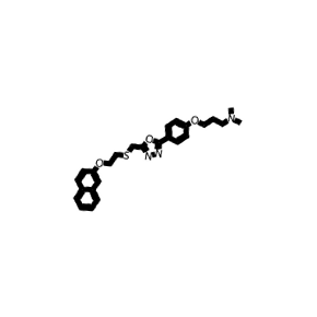 CN(C)CCCOc1ccc(-c2nnc(CSCCOc3ccc4ccccc4c3)o2)cc1